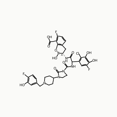 O=C(O)c1c(F)ccc2c1OB(O)[C@@H](NC(=O)C(NC(=O)N1CCN(C3CCN(Cc4ccc(F)c(O)c4)CC3)C1=O)c1cc(F)c(O)c(O)c1Cl)C2